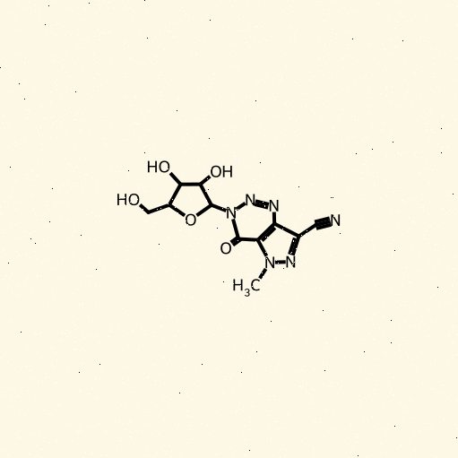 Cn1nc(C#N)c2nnn(C3OC(CO)C(O)C3O)c(=O)c21